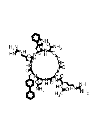 CC(=O)N[C@@H](CCCNC(=N)N)C(=O)N[C@H]1CCC(=O)NCCCC(C(N)=O)NC(=O)[C@H](Cc2c[nH]c3ccccc23)NC(=O)[C@H](CCCNC(=N)N)NC(=O)[C@@H](Cc2ccc(-c3ccccc3)cc2)NC(=O)[C@H](CCN)NC1=O